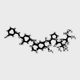 CNC(C)C(=O)NC(C(=O)N1CCCC1C(=O)Nc1cc2c(Nc3ccc(OCc4cccc(F)c4)c(Cl)c3)ncnc2cc1OC)C(C)(C)C